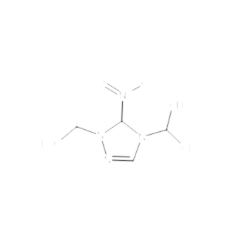 CCN1N=CN(C(C)C)C1[N+](=O)[O-]